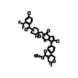 C[C@H]1CN(C(=O)OC(C)(C)C)[C@H](c2ccc(-n3c(Cl)cc4c(=O)n(CC5(O)CCN(C(=O)c6ccc(Cl)cc6C(F)F)CC5)cnc43)cc2)CO1